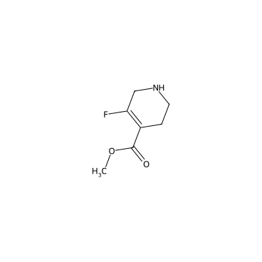 COC(=O)C1=C(F)CNCC1